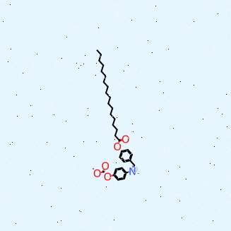 CCCCCCCCCCCCCCCCCC(=O)Oc1ccc(/C=N\c2ccc(OC(=O)OC)cc2)cc1